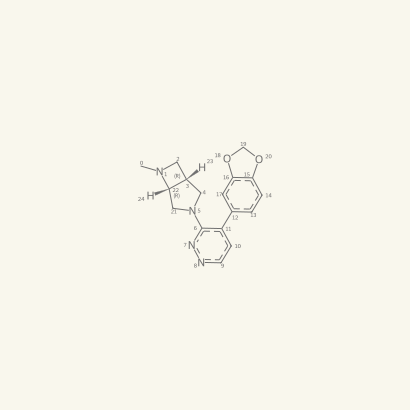 CN1C[C@@H]2CN(c3nnccc3-c3ccc4c(c3)OCO4)C[C@@H]21